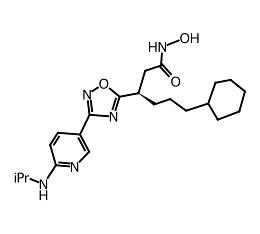 CC(C)Nc1ccc(-c2noc([C@H](CCCC3CCCCC3)CC(=O)NO)n2)cn1